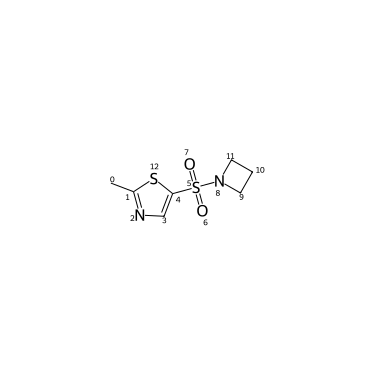 Cc1ncc(S(=O)(=O)N2CCC2)s1